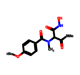 CCCCOc1ccc(C(=O)N(C)C(C(=O)NC)C(=O)NO)cc1